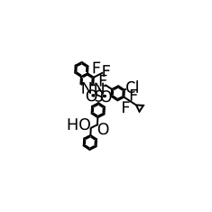 O=C(c1ccc(S(=O)(=O)N(Cc2ccc(C(F)(F)C3CC3)c(Cl)c2)c2ncc3ccccc3c2C(F)(F)F)cc1)C(O)c1ccccc1